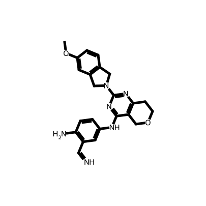 COc1ccc2c(c1)CN(c1nc3c(c(Nc4ccc(N)c(C=N)c4)n1)COCC3)C2